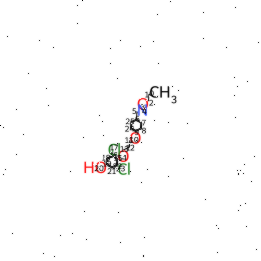 CCCON=Cc1ccc(OCCCOc2c(Cl)cc(O)cc2Cl)cc1